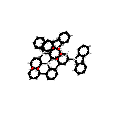 c1ccc(-c2cccc(-c3cc(-n4c5ccccc5c5ccccc54)nc(-n4c5ccccc5c5ccccc54)c3)c2B2c3ccccc3N(c3ccccc3)c3ccccc32)cc1